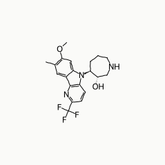 COc1cc2c(cc1C)c1nc(C(F)(F)F)ccc1n2[C@H]1CCCNC[C@@H]1O